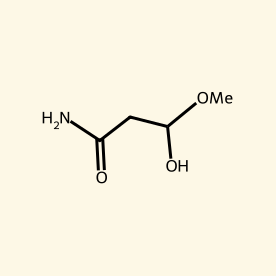 COC(O)CC(N)=O